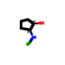 O[C@H]1CCC[C@H]1NCl